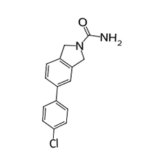 NC(=O)N1Cc2ccc(-c3ccc(Cl)cc3)cc2C1